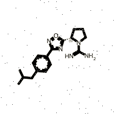 CC(C)Cc1ccc(-c2noc([C@@H]3CCCN3C(=N)N)n2)cc1